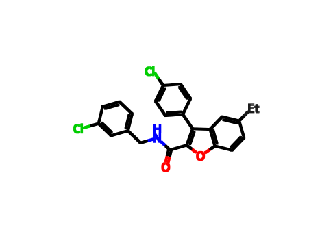 CCc1ccc2oc(C(=O)NCc3cccc(Cl)c3)c(-c3ccc(Cl)cc3)c2c1